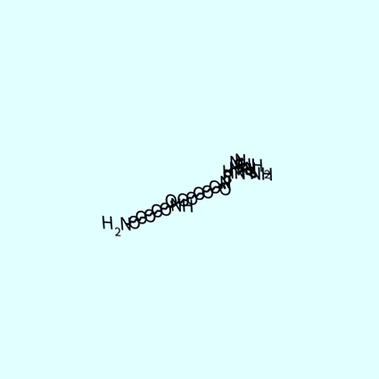 N=C(c1cnc2[nH]ccc2c1)c1c(N)ncnc1NCc1ccc2c(c1)CCN(C(=O)CCOCCOCCOCCOCCOCCNC(=O)CCOCCOCCOCCOCCOCCN)C2